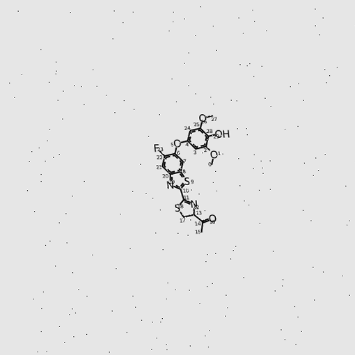 COc1cc(Oc2cc3sc(C4=NC(C(C)=O)CS4)nc3cc2F)cc(OC)c1O